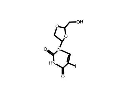 O=c1[nH]c(=O)n(C2COC(CO)O2)cc1I